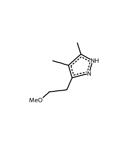 COCCc1n[nH]c(C)c1C